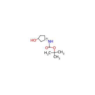 CC(C)(C)OC(=O)N[C@H]1CCC(O)C1